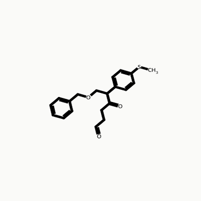 CSc1ccc(C(COCc2ccccc2)C(=O)CCC=O)cc1